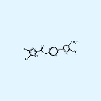 CCc1[nH]c(C(=O)Nc2ccc(-c3nc(C(=O)O)c(CC)o3)cc2)nc1Cl